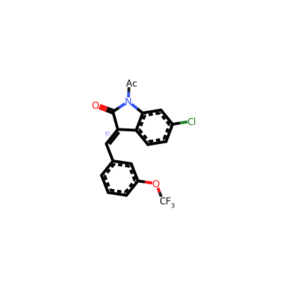 CC(=O)N1C(=O)/C(=C/c2cccc(OC(F)(F)F)c2)c2ccc(Cl)cc21